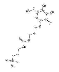 O=C(NCCCS(=O)(=O)O)OCCCO[C@@H]1O[C@H](CO)[C@@H](O)C(O)[C@H]1O